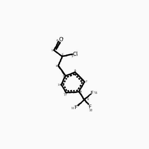 O=CC(Cl)Cc1ccc(C(F)(F)F)cc1